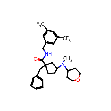 CN(C1CCOCC1)C1CCC(Cc2ccccc2)(C(=O)NCc2cc(C(F)(F)F)cc(C(F)(F)F)c2)C1